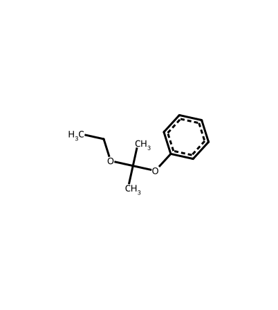 CCOC(C)(C)Oc1ccccc1